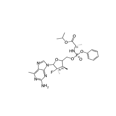 Cc1nc(N)nc2c1ncn2C1OC(COP(=O)(N[C@@H](C)C(=O)OC(C)C)Oc2ccccc2)[C@@H](C)[C@@]1(C)F